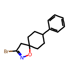 BrC1=NOC2(CCC(c3ccccc3)CC2)C1